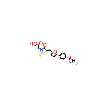 COc1ccc(-c2ccc(/C=C3\SC(=S)N(CC(=O)O)C3=O)o2)cc1